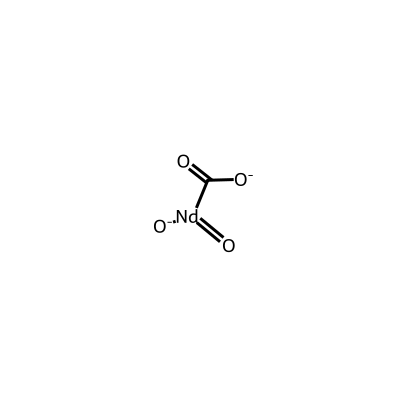 O=[C]([O-])[Nd](=[O])[O-]